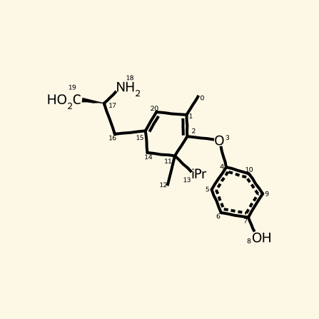 CC1=C(Oc2ccc(O)cc2)C(C)(C(C)C)CC(C[C@H](N)C(=O)O)=C1